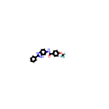 O=C(Nc1ccc2nc(-c3ccccc3)[nH]c2c1)c1ccc(OC(F)(F)F)cc1